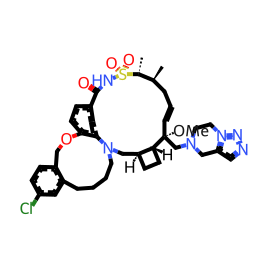 CO[C@@]1(CN2CCn3nncc3C2)/C=C/C[C@H](C)[C@@H](C)S(=O)(=O)NC(=O)c2ccc3c(c2)N(CCCCc2cc(Cl)ccc2CO3)C[C@@H]2CC[C@H]21